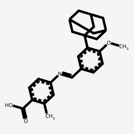 COc1ccc(C=Nc2ccc(C(=O)O)c(C)c2)cc1C12CC3CC(CC(C3)C1)C2